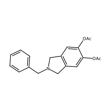 CC(=O)Oc1cc2c(cc1OC(C)=O)CN(Cc1ccccc1)C2